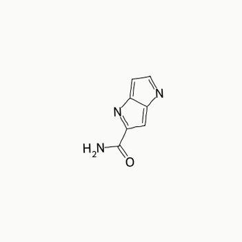 NC(=O)C1=NC2=CC=NC2=C1